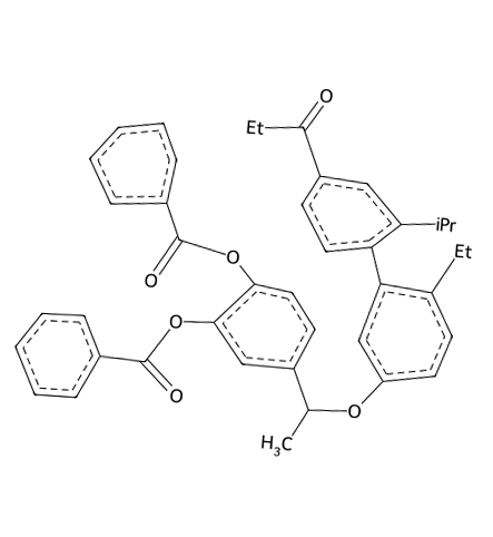 CCC(=O)c1ccc(-c2cc(OC(C)c3ccc(OC(=O)c4ccccc4)c(OC(=O)c4ccccc4)c3)ccc2CC)c(C(C)C)c1